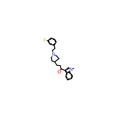 Cn1cc(C(=O)CCC2CCN(CCc3cccc(F)c3)CC2)c2ccccc21